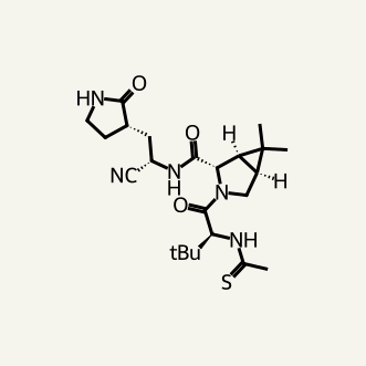 CC(=S)N[C@H](C(=O)N1C[C@H]2[C@@H]([C@H]1C(=O)N[C@H](C#N)C[C@@H]1CCNC1=O)C2(C)C)C(C)(C)C